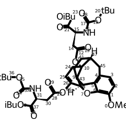 COc1ccc2c3c1O[C@@H]1C[C@@](OC(=O)C[C@H](NC(=O)OC(C)(C)C)C(=O)OCC(C)C)(CC=C1OC(=O)C[C@H](NC(=O)OC(C)(C)C)C(=O)OCC(C)C)[C@H](CCCC3)C2